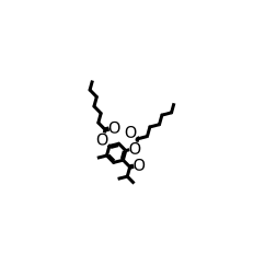 CCCCCCC(=O)Oc1cc(OC(=O)CCCCCC)c(C(=O)C(C)C)cc1C